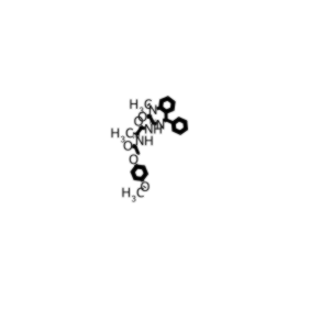 COc1ccc(OCC(=O)N[C@@H](C)C(=O)N[C@H]2N=C(c3ccccc3)c3ccccc3N(C)C2=O)cc1